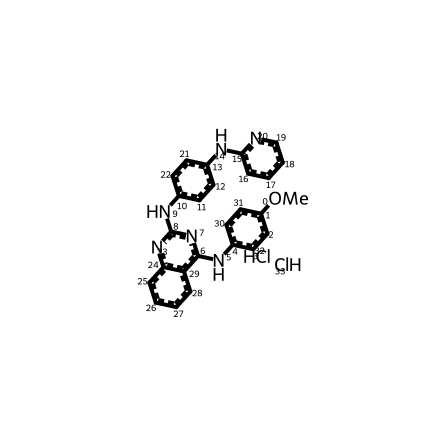 COc1ccc(Nc2nc(Nc3ccc(Nc4ccccn4)cc3)nc3ccccc23)cc1.Cl.Cl